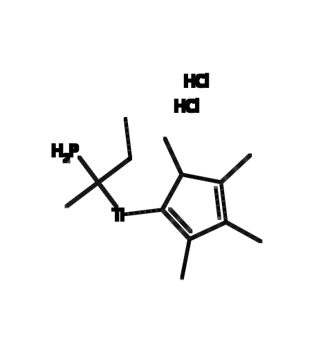 CC[C](C)(P)[Ti][C]1=C(C)C(C)=C(C)C1C.Cl.Cl